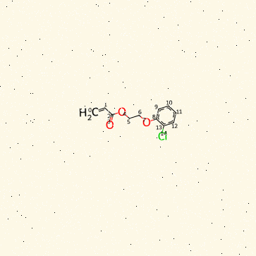 C=CC(=O)OCCOc1ccccc1Cl